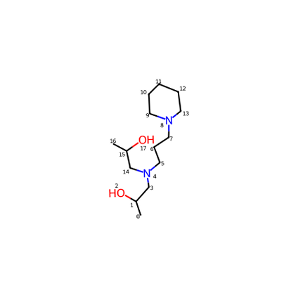 CC(O)CN(CCCN1CCCCC1)CC(C)O